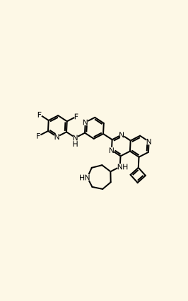 Fc1cc(F)c(Nc2cc(-c3nc(NC4CCCNCC4)c4c(C5=CC=C5)cncc4n3)ccn2)nc1F